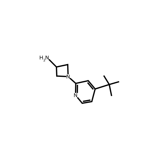 CC(C)(C)c1ccnc(N2CC(N)C2)c1